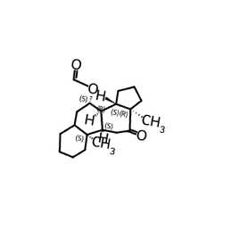 C[C@@]12CCC[C@H]1[C@@H]1[C@@H](OC=O)CC3CCCC[C@]3(C)[C@H]1CC2=O